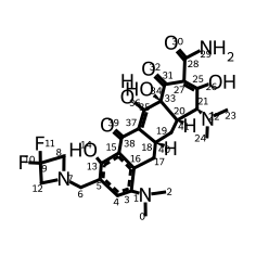 CN(C)c1cc(CN2CC(F)(F)C2)c(O)c2c1C[C@H]1C[C@H]3[C@H](N(C)C)C(O)=C(C(N)=O)C(=O)[C@@]3(O)C(O)=C1C2=O